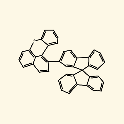 c1ccc2c(c1)Sc1cccc3ccc(-c4ccc5c(c4)C4(c6ccccc6-c6ccccc64)c4ccccc4-5)c-2c13